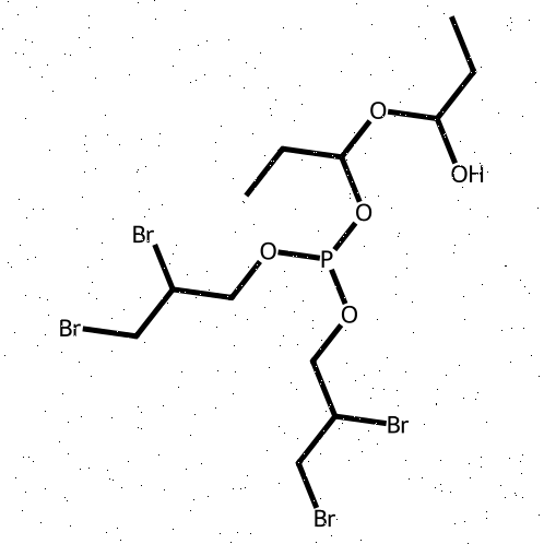 CCC(O)OC(CC)OP(OCC(Br)CBr)OCC(Br)CBr